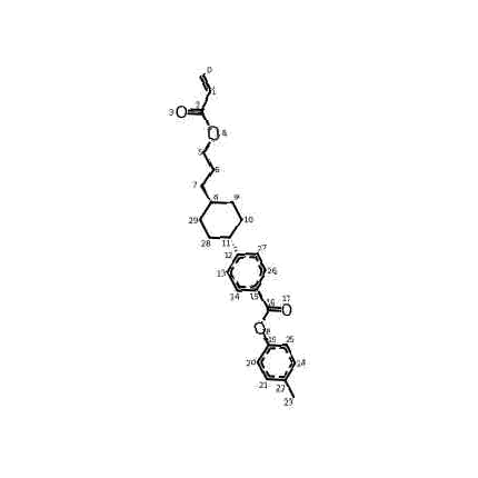 C=CC(=O)OCCC[C@H]1CC[C@H](c2ccc(C(=O)Oc3ccc(C)cc3)cc2)CC1